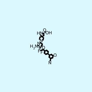 COc1cc(C#N)cc(-c2ccc([C@@H](Oc3cc(N4CCC5(CC4)CN[C@H](C(=O)O)C5)nc(N)n3)C(F)(F)F)cc2)c1